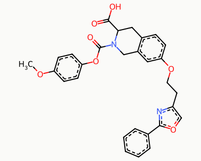 COc1ccc(OC(=O)N2Cc3cc(OCCc4coc(-c5ccccc5)n4)ccc3CC2C(=O)O)cc1